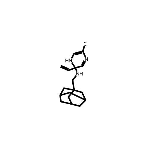 C=CC1(NCC23CC4CC(CC(C4)C2)C3)C=NC(Cl)=CN1